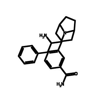 NC(=O)c1cccc(C2CC3CCC(C2)N3CC(N)Cc2ccccc2)c1